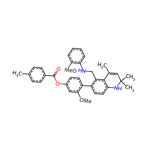 COc1ccccc1NCc1c(-c2ccc(OC(=O)c3ccc(C)cc3)cc2OC)ccc2c1C(C)=CC(C)(C)N2